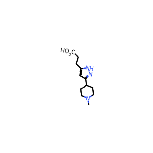 CN1CCC(c2cc(CCC(=O)O)[nH]n2)CC1